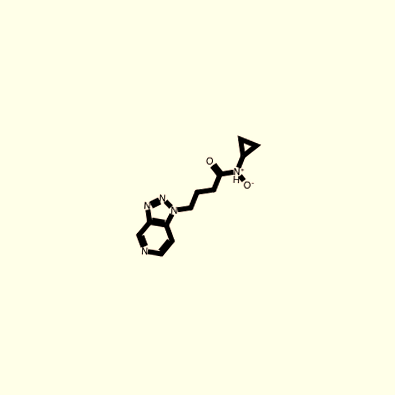 O=C(CCCn1nnc2cnccc21)[NH+]([O-])C1CC1